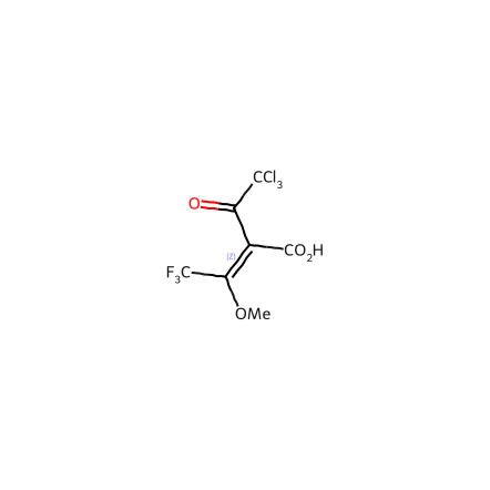 CO/C(=C(\C(=O)O)C(=O)C(Cl)(Cl)Cl)C(F)(F)F